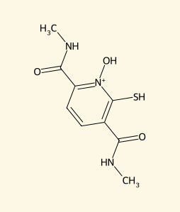 CNC(=O)c1ccc(C(=O)NC)[n+](O)c1S